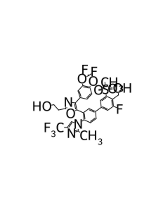 Cc1nc(C(F)(F)F)cn1-c1ccc(-c2cc(F)c(CO)c(S(C)(=O)=O)c2)cc1-c1oc(CCO)nc1-c1ccc2c(c1)OC(F)(F)O2